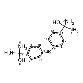 NC(N)(O)c1ccc(Sc2ccc(C(N)(N)O)cc2)cc1